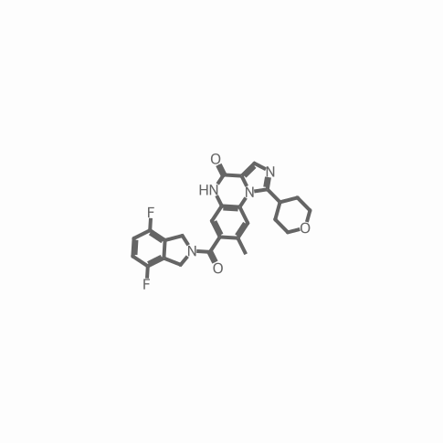 Cc1cc2c(cc1C(=O)N1Cc3c(F)ccc(F)c3C1)[nH]c(=O)c1cnc(C3CCOCC3)n12